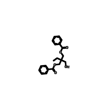 CCC(CO)(COC(=O)c1ccccc1)COC(=O)c1ccccc1